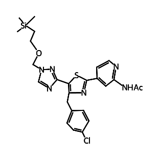 CC(=O)Nc1cc(-c2nc(Cc3ccc(Cl)cc3)c(-c3ncn(COCC[Si](C)(C)C)n3)s2)ccn1